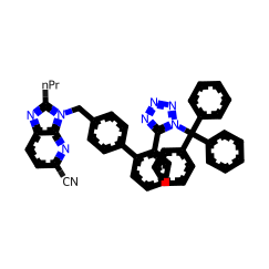 CCCc1nc2ccc(C#N)nc2n1Cc1ccc(-c2ccccc2-c2nnnn2C(c2ccccc2)(c2ccccc2)c2ccccc2)cc1